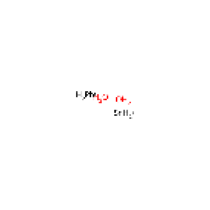 O.O.[PbH2].[SnH2]